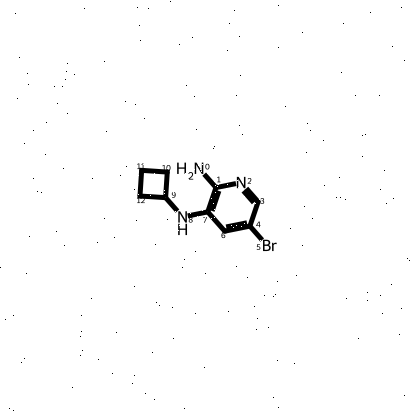 Nc1ncc(Br)cc1NC1CCC1